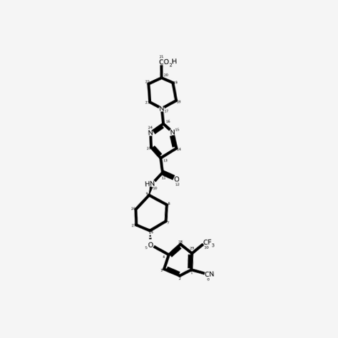 N#Cc1ccc(O[C@H]2CC[C@H](NC(=O)c3cnc(N4CCC(C(=O)O)CC4)nc3)CC2)cc1C(F)(F)F